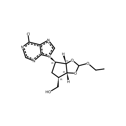 CCOC1O[C@@H]2[C@@H](CO)C[C@@H](n3cnc4c(Cl)ncnc43)[C@@H]2O1